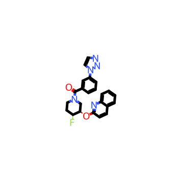 O=C(c1cccc(-n2ccnn2)c1)N1CC[C@@H](F)[C@@H](Oc2ccc3ccccc3n2)C1